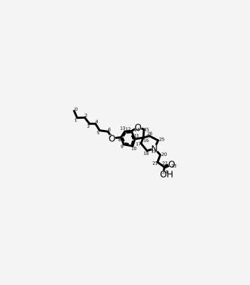 CCCCCCCOc1ccc2c(c1)OCC21CCN(CCC(=O)O)CC1